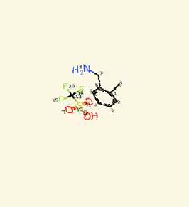 Cc1ccccc1CN.O=S(=O)(O)C(F)(F)F